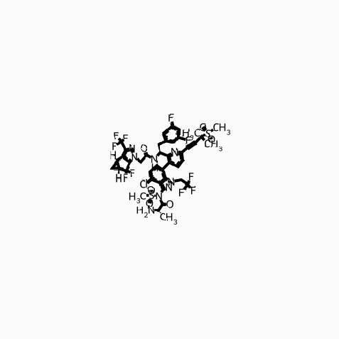 C[C@H](N)C(=O)N(c1nn(CC(F)(F)F)c2c(-c3ccc(C#CC(C)(C)S(C)(=O)=O)nc3[C@H](Cc3cc(F)cc(F)c3)NC(=O)Cn3nc(C(F)(F)F)c4c3C(F)(F)[C@@H]3C[C@H]43)ccc(Cl)c12)S(C)(=O)=O